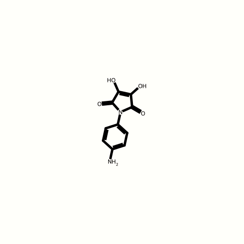 Nc1ccc(N2C(=O)C(O)=C(O)C2=O)cc1